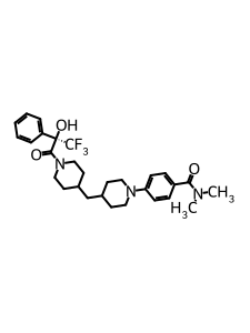 CN(C)C(=O)c1ccc(N2CCC(CC3CCN(C(=O)[C@](O)(c4ccccc4)C(F)(F)F)CC3)CC2)cc1